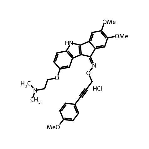 COc1ccc(C#CCON=C2c3cc(OC)c(OC)cc3-c3[nH]c4ccc(OCCN(C)C)cc4c32)cc1.Cl